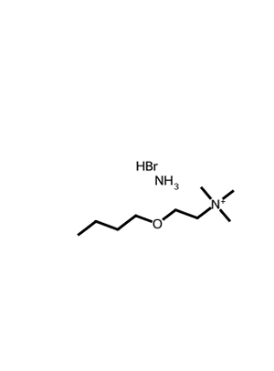 Br.CCCCOCC[N+](C)(C)C.N